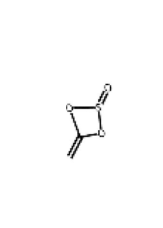 C=C1OS(=O)O1